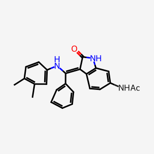 CC(=O)Nc1ccc2c(c1)NC(=O)/C2=C(\Nc1ccc(C)c(C)c1)c1ccccc1